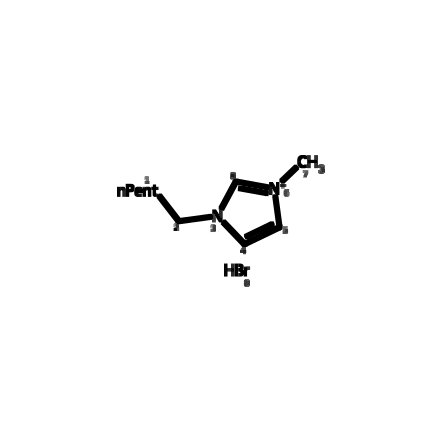 Br.CCCCCCn1cc[n+](C)c1